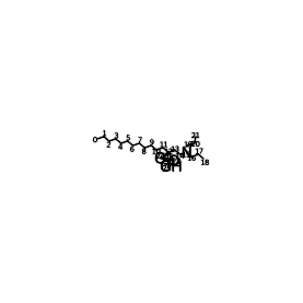 CCCCCCCCCCCCC(CCN(CCC)CCC)S(=O)(=O)O